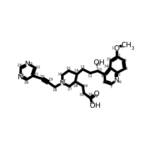 COc1ccc2nccc([C@@H](O)CCC3CCN(CC#Cc4cncnc4)CC3CCC(=O)O)c2c1